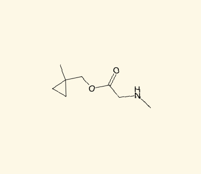 CNCC(=O)OCC1(C)CC1